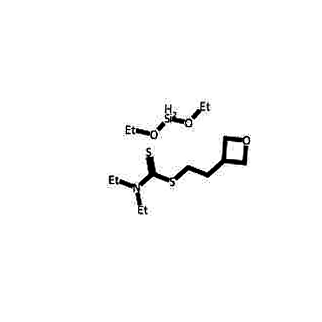 CCN(CC)C(=S)SCCC1COC1.CCO[SiH2]OCC